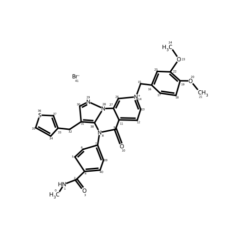 CNC(=O)c1ccc(-n2c(=O)c3cc[n+](Cc4ccc(OC)c(OC)c4)cc3n3ncc(Cc4ccsc4)c23)cc1.[Br-]